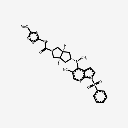 COc1nsc(NC(=O)N2C[C@H]3C[C@H](N(C)c4c(C#N)cnc5c4ccn5S(=O)(=O)c4ccccc4)C[C@H]3C2)n1